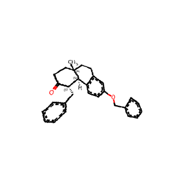 C[C@]12CCC(=O)[C@@H](Cc3ccccc3)[C@@H]1c1ccc(OCc3ccccc3)cc1CC2